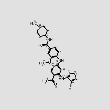 COc1cc(C(=O)NC2CCN(C)CC2)ccc1Nc1ncc(C(C)=O)c(Nc2nonc2F)n1